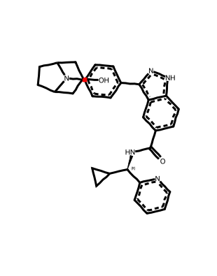 O=C(N[C@@H](c1ccccn1)C1CC1)c1ccc2[nH]nc(-c3ccc(N4C5CCC4CC(O)C5)cc3)c2c1